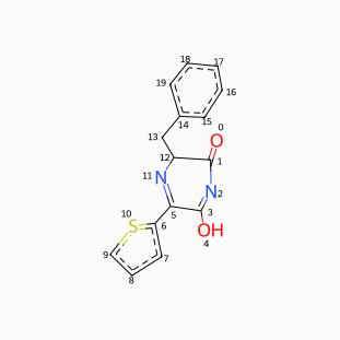 O=C1N=C(O)C(c2cccs2)=NC1Cc1ccccc1